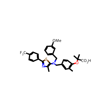 COc1cccc(CN(Cc2ccc(OC(C)(C)C(=O)O)c(C)c2)c2sc(-c3ccc(C(F)(F)F)cc3)nc2C)c1